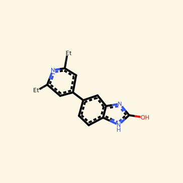 CCc1cc(-c2ccc3[nH]c(O)nc3c2)cc(CC)n1